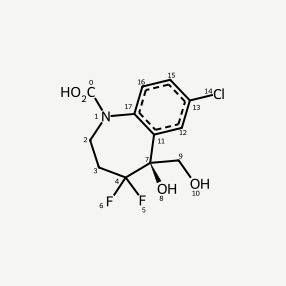 O=C(O)N1CCC(F)(F)[C@@](O)(CO)c2cc(Cl)ccc21